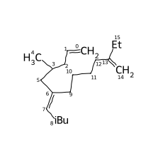 C=CCC(C)CC(=CC(C)CC)CCCCC(=C)CC